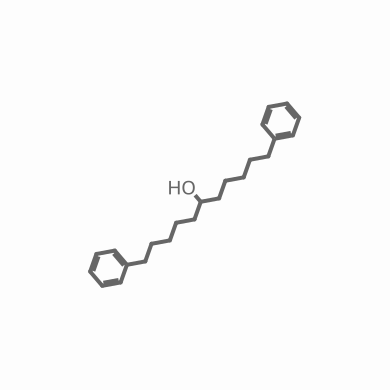 OC(CCCCCc1ccccc1)CCCCCc1ccccc1